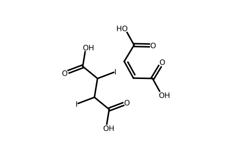 O=C(O)/C=C\C(=O)O.O=C(O)C(I)C(I)C(=O)O